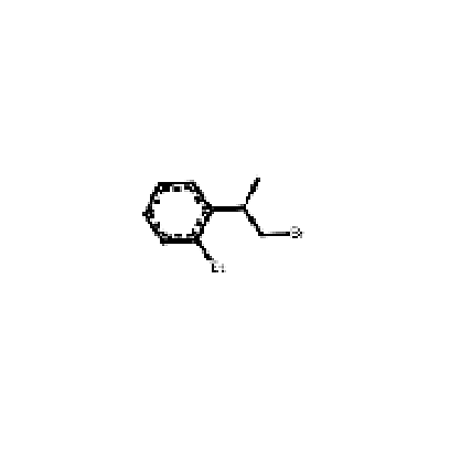 CCc1ccccc1[C@@H](C)CBr